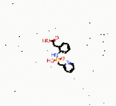 O=C(O)Cc1ccccc1NP(=O)(O)Cc1ccccn1